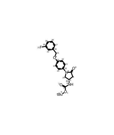 CC(C)(C)OC(=O)N[C@@H]1CC(=O)N(c2ccc(OCc3cccc(F)c3)cc2)C1